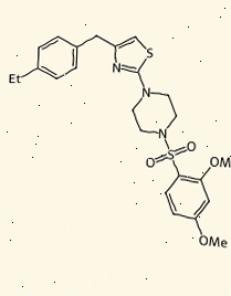 CCc1ccc(Cc2csc(N3CCN(S(=O)(=O)c4ccc(OC)cc4OC)CC3)n2)cc1